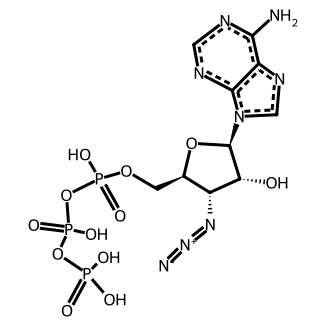 [N-]=[N+]=N[C@H]1[C@@H](O)[C@H](n2cnc3c(N)ncnc32)O[C@@H]1COP(=O)(O)OP(=O)(O)OP(=O)(O)O